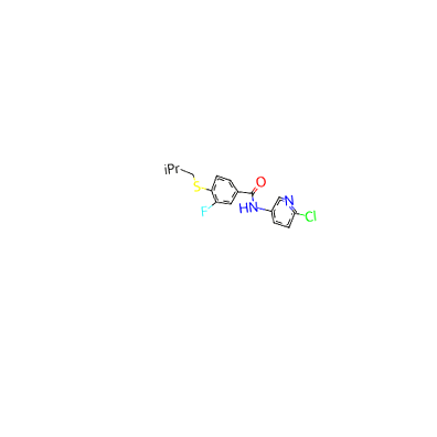 CC(C)CSc1ccc(C(=O)Nc2ccc(Cl)nc2)cc1F